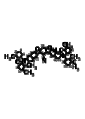 Cc1cccc(N(c2ccc3cc4c(cc3c2)oc2cc3oc5cc6cc(N(c7cccc(C)c7C)c7cccc(C)c7C)ccc6cc5c3c(C#N)c24)c2cccc(C)c2C)c1C